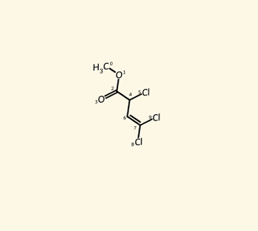 COC(=O)C(Cl)C=C(Cl)Cl